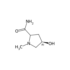 CN1C[C@H](O)CC1C(N)=O